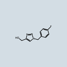 OCc1cn(Cc2ccc(F)cc2)nn1